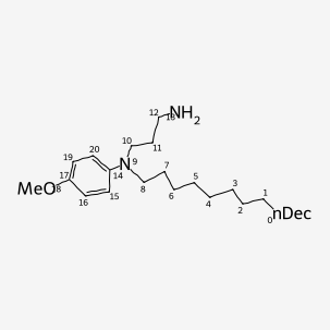 CCCCCCCCCCCCCCCCCCN(CCCN)c1ccc(OC)cc1